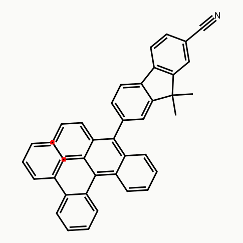 CC1(C)c2cc(C#N)ccc2-c2ccc(-c3c4ccccc4c(-c4ccccc4-c4ccccc4)c4ccccc34)cc21